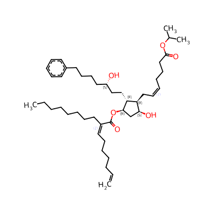 C=CCCCC/C=C(/CCCCCCCC)C(=O)O[C@@H]1C[C@H](O)[C@H](C/C=C\CCCC(=O)OC(C)C)[C@H]1CC[C@@H](O)CCCCc1ccccc1